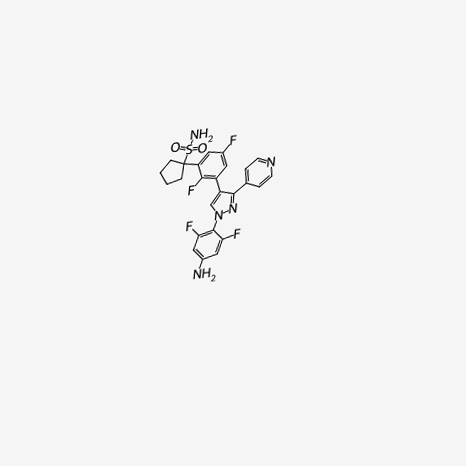 Nc1cc(F)c(-n2cc(-c3cc(F)cc(C4(S(N)(=O)=O)CCCC4)c3F)c(-c3ccncc3)n2)c(F)c1